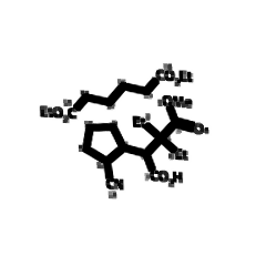 CCC(CC)(C(=O)OC)C(C(=O)O)C1CCCC1C#N.CCOC(=O)CCCCC(=O)OCC